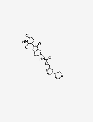 O=C1CCC(N2Cc3ccc(CNC(=O)OCc4cccc(-c5ccccc5)c4)cc3C2=O)C(=O)N1